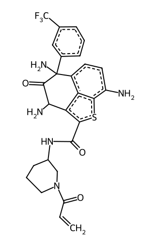 C=CC(=O)N1CCCC(NC(=O)c2sc3c(N)ccc4c3c2C(N)C(=O)C4(N)c2cccc(C(F)(F)F)c2)C1